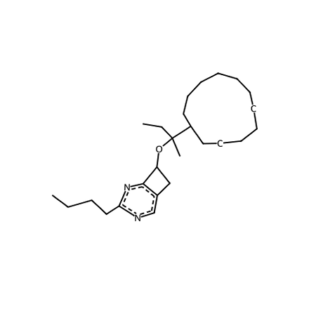 CCCCc1ncc2c(n1)C(OC(C)(CC)C1CCCCCCCCCCC1)C2